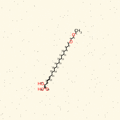 CCOCCOCCCCCCCCCCCCCCCCCC=CCC(O)C(=O)O